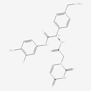 COCc1ccc([C@@H](NC(=O)Cn2ccc(=O)[nH]c2=O)C(=O)Nc2ccc(C(C)(C)C)c(F)c2)cc1